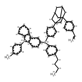 C=Cc1ccc(C23CC4CC(C2)CC(c2ccc(N(c5ccc(CCCC)cc5)c5ccc6c(c5)c5ccccc5n6-c5ccc(C)cc5)cc2)(C4)C3)cc1